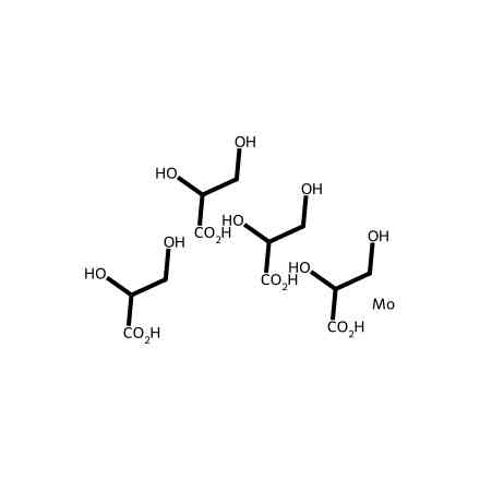 O=C(O)C(O)CO.O=C(O)C(O)CO.O=C(O)C(O)CO.O=C(O)C(O)CO.[Mo]